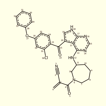 C=C(C#N)C(=O)N1CCCCC(Nc2ncnc3[nH]cc(C(=O)c4ccc(Oc5ccccc5)cc4Cl)c23)C1